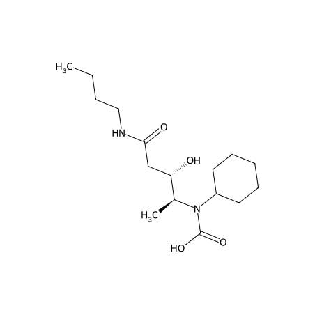 CCCCNC(=O)C[C@H](O)[C@H](C)N(C(=O)O)C1CCCCC1